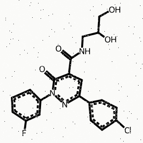 O=C(NCC(O)CO)c1cc(-c2ccc(Cl)cc2)nn(-c2cccc(F)c2)c1=O